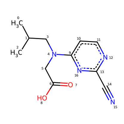 CC(C)CN(CC(=O)O)c1ccnc(C#N)n1